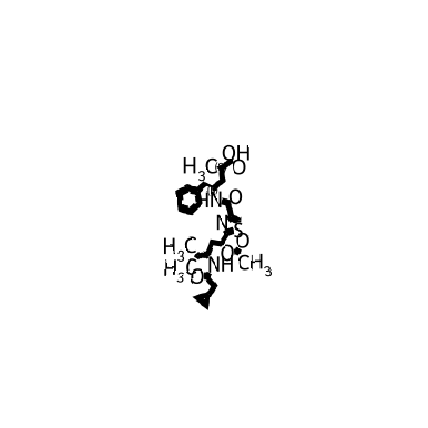 CC(=O)OC(CC(NC(=O)CC1CC1)C(C)C)c1nc(C(=O)N[C@@H](Cc2ccccc2)C[C@H](C)C(=O)O)cs1